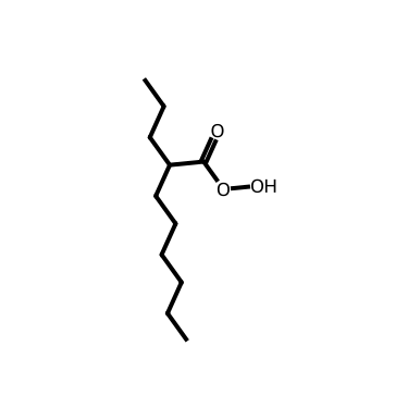 CCCCCCC(CCC)C(=O)OO